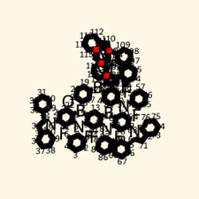 Fc1cccc(F)c1N1c2cc3c(cc2B2c4ccccc4Oc4cc(-n5c(-c6ccccc6)cc6ccccc65)cc1c42)B1c2cc4c(cc2N(c2c(F)cccc2F)c2cc(-n5c(-c6ccccc6)cc6ccccc65)cc(c21)N3c1c(F)cccc1F)N(c1c(F)cccc1F)c1cc(-n2c(-c3ccccc3)cc3ccccc32)cc2c1B4c1ccccc1N2c1ccccc1